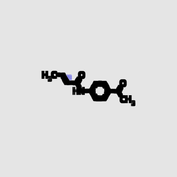 C/C=C/C(=O)Nc1ccc(C(C)=O)cc1